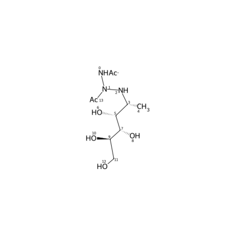 CC(=O)[N]N(N[C@H](C)[C@@H](O)[C@H](O)[C@H](O)CO)C(C)=O